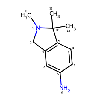 CN1Cc2cc(N)ccc2C1(C)C